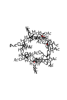 CC(=O)OCC1O[C@@H]2O[C@@H]3C(COC(C)=O)O[C@H](O[C@@H]4C(CN=[N+]=[N-])O[C@H](O[C@@H]5C(COC(C)=O)O[C@@H](O[C@@H]6C(COC(C)=O)O[C@H](O[C@@H]7C(CN=[N+]=[N-])O[C@@H](O[C@@H]8C(COC(C)=O)O[C@H](O[C@H]1[C@H](OC(C)=O)C2OC(C)=O)C(OC(C)=O)[C@H]8OC(C)=O)C(OC(C)=O)[C@H]7OC(C)=O)C(OC(C)=O)[C@@H]6OC(C)=O)C(OC(C)=O)[C@@H]5OC(C)=O)C(OC(C)=O)[C@H]4OC(C)=O)C(OC(C)=O)[C@H]3OC(C)=O